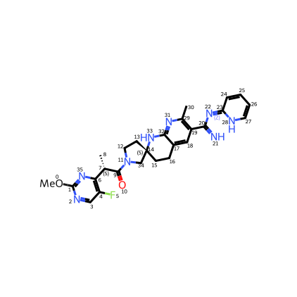 COc1ncc(F)c([C@H](C)C(=O)N2CC[C@@]3(CCc4cc(C(=N)/N=c5/cccc[nH]5)c(C)nc4N3)C2)n1